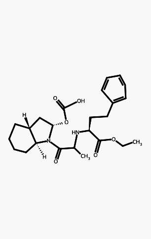 CCOC(=O)[C@H](CCc1ccccc1)NC(C)C(=O)N1[C@@H](OC(=O)O)C[C@H]2CCCC[C@@H]21